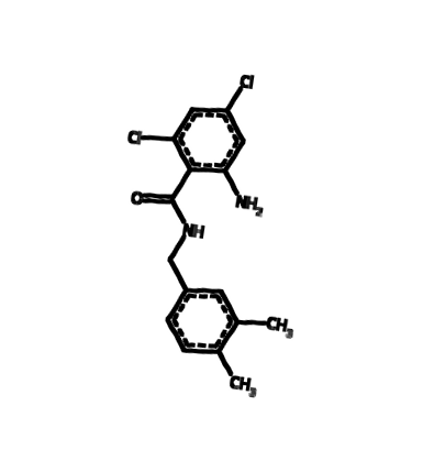 Cc1ccc(CNC(=O)c2c(N)cc(Cl)cc2Cl)cc1C